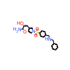 NC(=O)/C(O)=C\c1ccn(S(=O)(=O)c2ccc(CNCc3ccccc3)cc2)c1